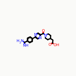 N=C(N)c1ccc(-c2cnc(C(=O)N3CCC(CC(=O)O)CC3)cn2)cc1